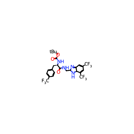 CC(C)(C)OC(=O)N[C@H](Cc1ccc(C(F)(F)F)cc1)C(=O)NCC1N=C2C=C(C(F)(F)F)C=C(C(F)(F)F)C2N1